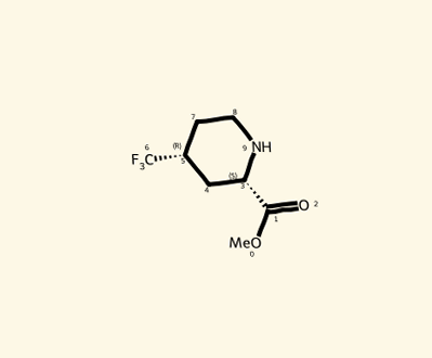 COC(=O)[C@@H]1C[C@H](C(F)(F)F)CCN1